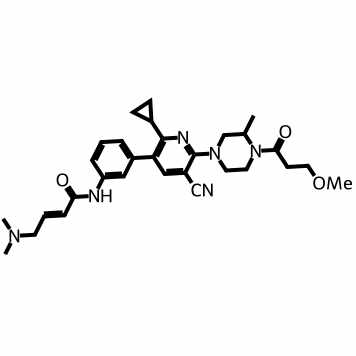 COCCC(=O)N1CCN(c2nc(C3CC3)c(-c3cccc(NC(=O)C=CCN(C)C)c3)cc2C#N)CC1C